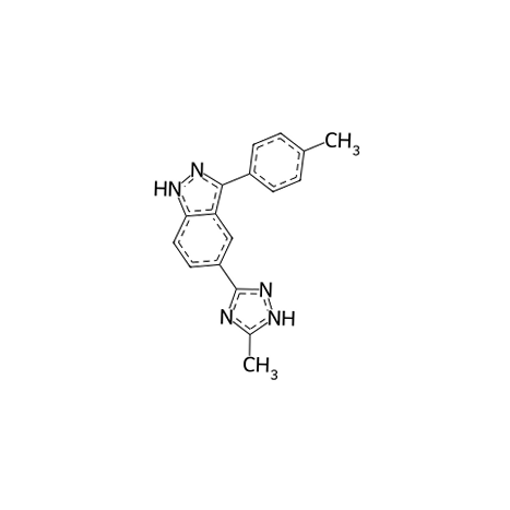 Cc1ccc(-c2n[nH]c3ccc(-c4n[nH]c(C)n4)cc23)cc1